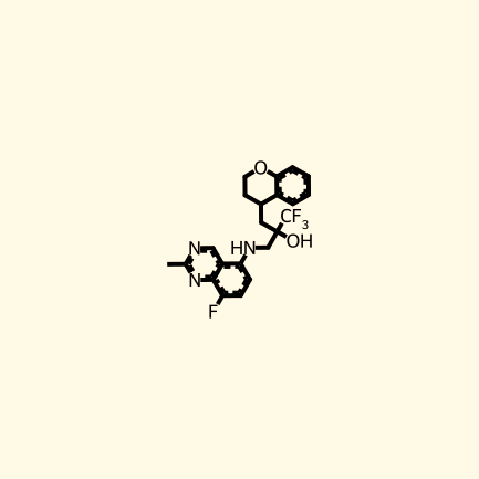 Cc1ncc2c(NCC(O)(CC3CCOc4ccccc43)C(F)(F)F)ccc(F)c2n1